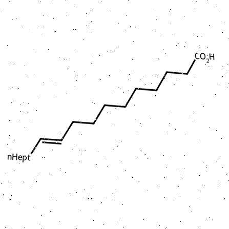 CCCCCCCC=CCCCCCCCCC(=O)O